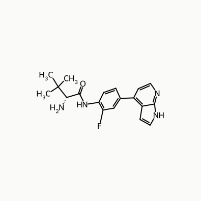 CC(C)(C)[C@@H](N)C(=O)Nc1ccc(-c2ccnc3[nH]ccc23)cc1F